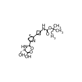 CC(C)(C)OC(=O)NC12CC(c3nc(C(=O)N[C@@H](CO)C(=O)O)cs3)(C1)C2